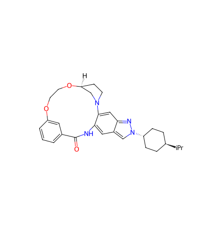 CC(C)[C@H]1CC[C@H](n2cc3cc4c(cc3n2)N2CC[C@@H](C2)OCCOc2cccc(c2)C(=O)N4)CC1